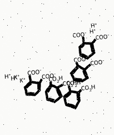 O=C(O)c1ccccc1C(=O)O.O=C(O)c1ccccc1C(=O)O.O=C([O-])c1ccccc1C(=O)[O-].O=C([O-])c1ccccc1C(=O)[O-].O=C([O-])c1ccccc1C(=O)[O-].[H+].[H+].[H+].[H+].[K+].[K+]